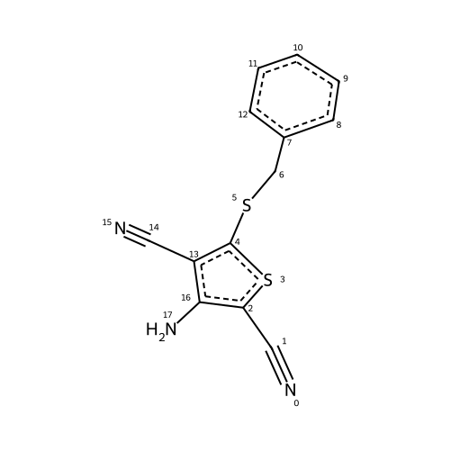 N#Cc1sc(SCc2ccccc2)c(C#N)c1N